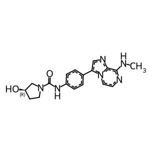 CNc1nccn2c(-c3ccc(NC(=O)N4CC[C@@H](O)C4)cc3)cnc12